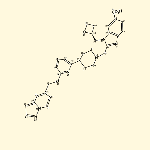 O=C(O)c1ccc2nc(CN3CCC(c4cccc(OCc5ccn6nccc6c5)n4)CC3)n(C[C@@H]3CCO3)c2c1